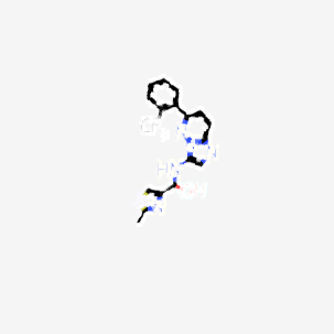 Cc1nc(C(O)Nc2cnc3ccc(-c4ccccc4C(F)(F)F)nn23)cs1